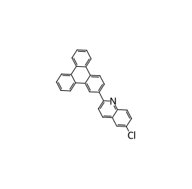 Clc1ccc2nc(-c3ccc4c5ccccc5c5ccccc5c4c3)ccc2c1